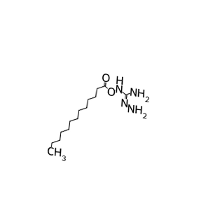 CCCCCCCCCCCCC(=O)ONC(N)=NN